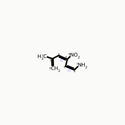 C=C(C)/C=C(\C=C/N)[N+](=O)[O-]